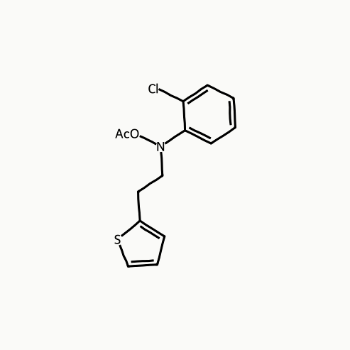 CC(=O)ON(CCc1cccs1)c1ccccc1Cl